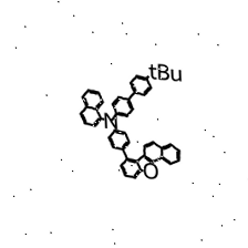 CC(C)(C)c1ccc(-c2ccc(N(c3ccc(-c4cccc5oc6c7ccccc7ccc6c45)cc3)c3cccc4ccccc34)cc2)cc1